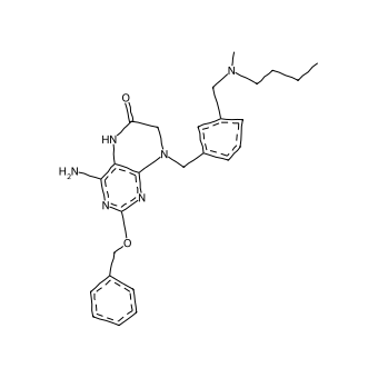 CCCCN(C)Cc1cccc(CN2CC(=O)Nc3c(N)nc(OCc4ccccc4)nc32)c1